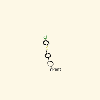 CCCCCC1CCC(c2ccc(CSc3ccc(Cl)cc3)cc2)CC1